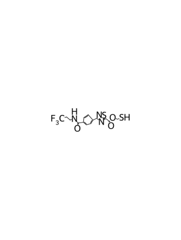 O=C(NCCC(F)(F)F)c1ccc(-c2nsc(C(=O)OCS)n2)cc1